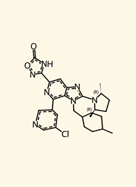 CC1CCC(Cn2c(N3[C@H](C)CC[C@H]3C)nc3cc(-c4noc(=O)[nH]4)nc(-c4cncc(Cl)c4)c32)CC1